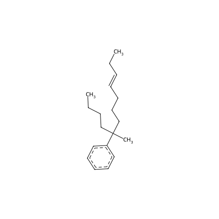 CCC=CCCCC(C)(CCCC)c1ccccc1